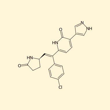 O=C1CC[C@H](/C=C(\c2ccc(Cl)cc2)c2ccc(-c3cn[nH]c3)c(=O)[nH]2)N1